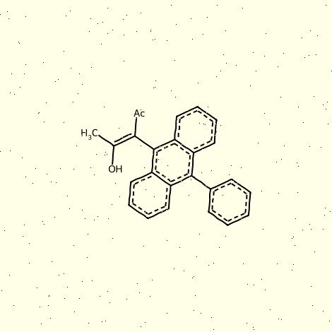 CC(=O)C(=C(C)O)c1c2ccccc2c(-c2ccccc2)c2ccccc12